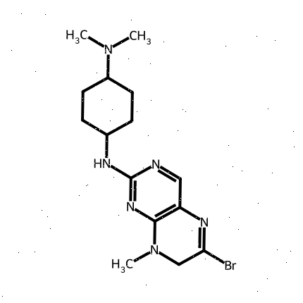 CN1CC(Br)=Nc2cnc(NC3CCC(N(C)C)CC3)nc21